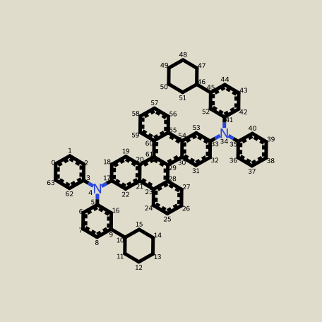 c1ccc(N(c2cccc(C3CCCCC3)c2)c2ccc3c(c2)c2ccccc2c2c4ccc(N(c5ccccc5)c5cccc(C6CCCCC6)c5)cc4c4ccccc4c32)cc1